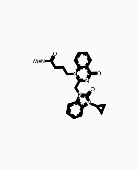 CNC(=O)CCCn1c(Cn2c(=O)n(C3CC3)c3ccccc32)nc(=O)c2ccccc21